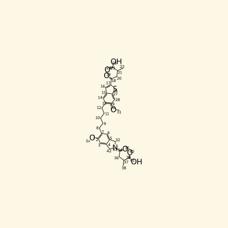 COc1cc2c(cc1CCCCCc1cc3cc(C(=O)CC(C)C(=O)O)sc3cc1OC)CN(C(=O)CC(C)C(=O)O)C2